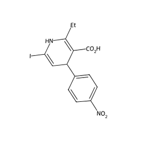 CCC1=C(C(=O)O)C(c2ccc([N+](=O)[O-])cc2)C=C(I)N1